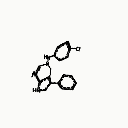 Clc1ccc(NN2C=Nc3[nH]cc(-c4ccccc4)c3C2)cc1